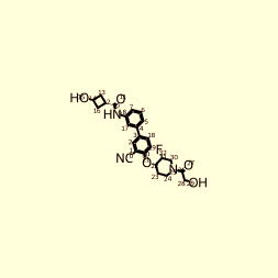 N#Cc1cc(-c2cccc(NC(=O)[C@H]3C[C@H](O)C3)c2)ccc1O[C@H]1CCN(C(=O)CO)C[C@H]1F